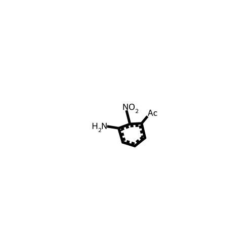 CC(=O)c1cccc(N)c1[N+](=O)[O-]